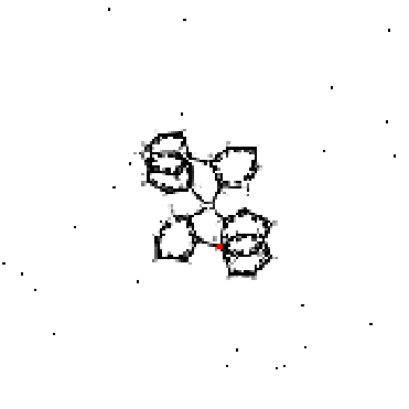 c1ccc(-c2cccnc2[Si](c2ccccc2)(c2ccccc2)c2ncccc2-c2ccncc2)cc1